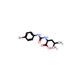 CC(C)CC(NC(=O)Nc1ccc(Br)cc1)C(=O)O